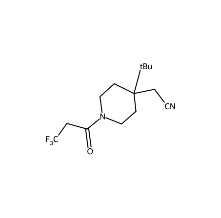 CC(C)(C)C1(CC#N)CCN(C(=O)CC(F)(F)F)CC1